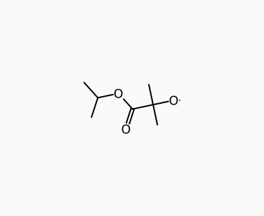 CC(C)OC(=O)C(C)(C)[O]